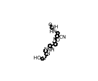 Cc1c(Nc2nccc3cc(CN4CC[C@@H](O)C4)cnc23)cccc1-c1cccc(-c2nc3cc4c(c(C#N)c3o2)CC[C@H]4NC[C@@H]2CCC(=O)N2)c1C